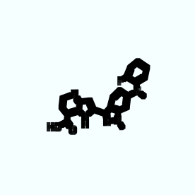 CN(c1ccc2c(-c3cc4nccc(C(=O)O)c4[nH]3)nn(C)c2c1)c1ccccc1F